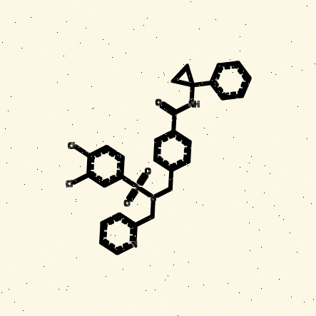 O=C(NC1(c2ccccc2)CC1)c1ccc(CN(Cc2ccccn2)S(=O)(=O)c2ccc(Cl)c(Cl)c2)cc1